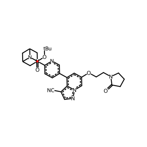 CC(C)(C)OC(=O)N1C2CC1CN(c1ccc(-c3cc(OCCN4CCCC4=O)cn4ncc(C#N)c34)cn1)C2